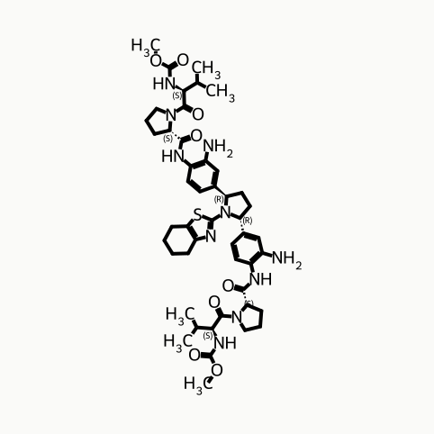 COC(=O)N[C@H](C(=O)N1CCC[C@H]1C(=O)Nc1ccc([C@H]2CC[C@H](c3ccc(NC(=O)[C@@H]4CCCN4C(=O)[C@@H](NC(=O)OC)C(C)C)c(N)c3)N2c2nc3c(s2)CCCC3)cc1N)C(C)C